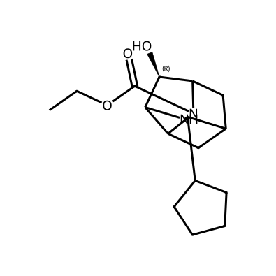 CCOC(=O)N1C2CC3CC1[C@H](O)C2NC3C1CCCC1